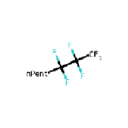 CCCCCC(F)(F)C(F)(F)C(F)(F)F